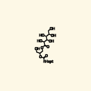 CCCCCCCC(=O)OC(CO)COC(=O)C(O)C(O)C(O)C(O)CO